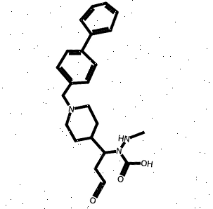 CNN(C(=O)O)C(CC=O)C1CCN(Cc2ccc(-c3ccccc3)cc2)CC1